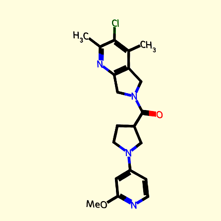 COc1cc(N2CCC(C(=O)N3Cc4nc(C)c(Cl)c(C)c4C3)C2)ccn1